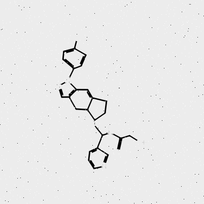 C[C@]12Cc3cnn(-c4ccc(F)cc4)c3C=C1CC[C@@H]2CC(NC(=O)CO)c1cccnc1